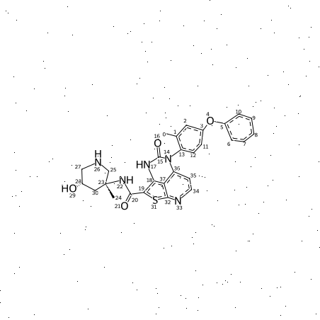 Cc1cc(Oc2ccccc2)ccc1N1C(=O)Nc2c(C(=O)N[C@@]3(C)CNC[C@@H](O)C3)sc3nccc1c23